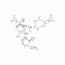 Cc1ccc2n(c1=O)[C@@H](COC1CCC(C3CC3)CC1)[C@@H](NS(=O)(=O)C1CC1)CC2